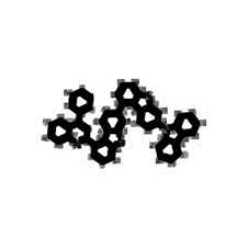 c1ccc(-c2cc(-c3cccc4sc5cc(-c6cccc7sc8cc(-n9c%10ccccc%10c%10ccccc%109)ccc8c67)ccc5c34)nc3ccccc23)cc1